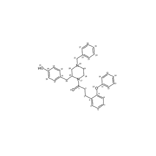 O=C(CCc1ccccc1Oc1ccccc1)N1CCN(Cc2ccccc2)CC1Cc1ccc(O)cc1